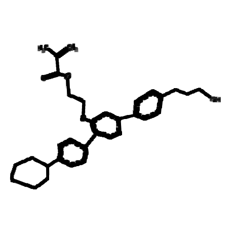 C=C(C)C(=O)OCCOc1cc(-c2ccc(CCCO)cc2)ccc1-c1ccc(C2CCCCC2)cc1